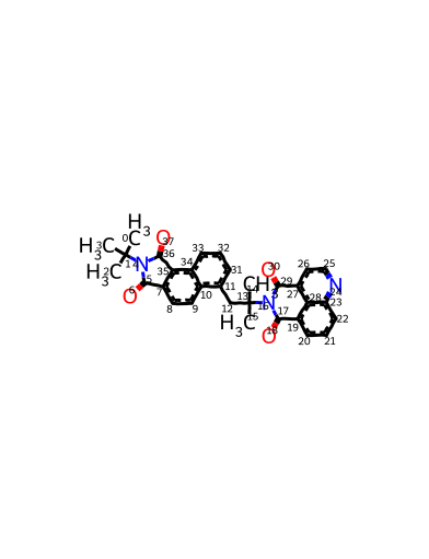 CC(C)(C)N1C(=O)c2ccc3c(CC(C)(C)N4C(=O)c5cccc6nccc(c56)C4=O)cccc3c2C1=O